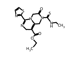 CCNC(=S)N1CC2=C(C(=O)OCC)CN=C(c3nccs3)N2CC1=O